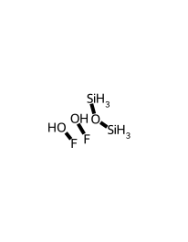 OF.OF.[SiH3]O[SiH3]